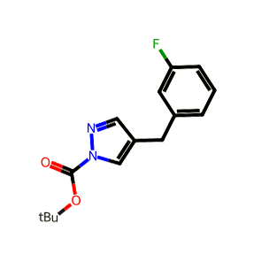 CC(C)(C)OC(=O)n1cc(Cc2cccc(F)c2)cn1